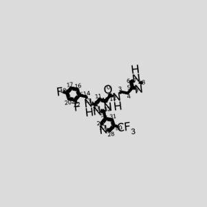 O=C(NCCc1c[nH]cn1)c1cc(NCc2ccc(F)cc2F)nc(-c2cncc(C(F)(F)F)c2)n1